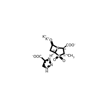 C[C@H]1[C@H](C(=O)[O-])N2C(=O)C[C@@H]2S1(=O)=O.O=C([O-])c1c[nH]nn1.[K+].[K+]